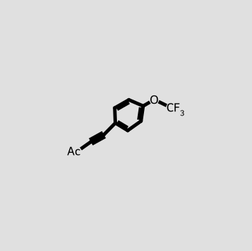 CC(=O)C#Cc1ccc(OC(F)(F)F)cc1